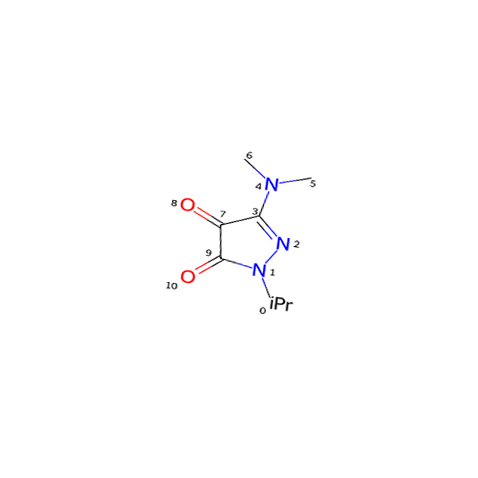 CC(C)N1N=C(N(C)C)C(=O)C1=O